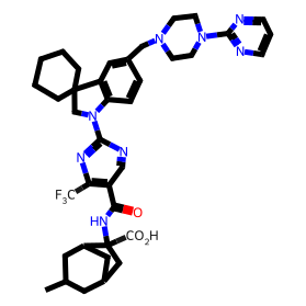 CC1CC2CC(C1)C(NC(=O)c1cnc(N3CC4(CCCCC4)c4cc(CN5CCN(c6ncccn6)CC5)ccc43)nc1C(F)(F)F)(C(=O)O)C2